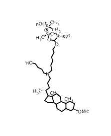 CCCCCCCC[Si](C)(C)O[Si](C)(C)OC(CCCCCCC)OCCCCCCN(CCCCO)CCC[C@@H](C)C1CCC2C3CCC4C[C@H](OC)CC[C@]4(C)C3CC[C@@]21C